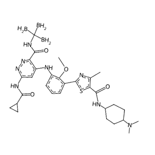 BC(B)(B)NC(=O)c1nnc(NC(=O)C2CC2)cc1Nc1cccc(-c2nc(C)c(C(=O)NC3CCC(N(C)C)CC3)s2)c1OC